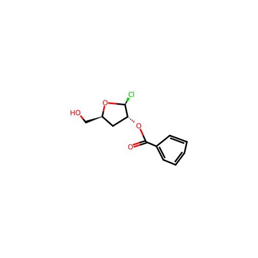 O=C(O[C@@H]1C[C@@H](CO)O[C@H]1Cl)c1ccccc1